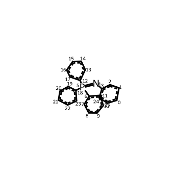 c1ccc(N=P(c2ccccc2)(c2ccccc2)c2ccccc2)cc1